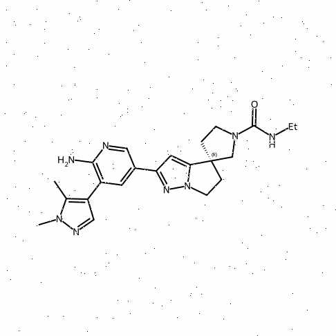 CCNC(=O)N1CC[C@@]2(CCn3nc(-c4cnc(N)c(-c5cnn(C)c5C)c4)cc32)C1